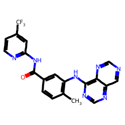 Cc1ccc(C(=O)Nc2cc(C(F)(F)F)ccn2)cc1Nc1ncnc2cncnc12